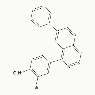 O=[N+]([O-])c1ccc(-c2nncc3ccc(-c4ccccc4)cc23)cc1Br